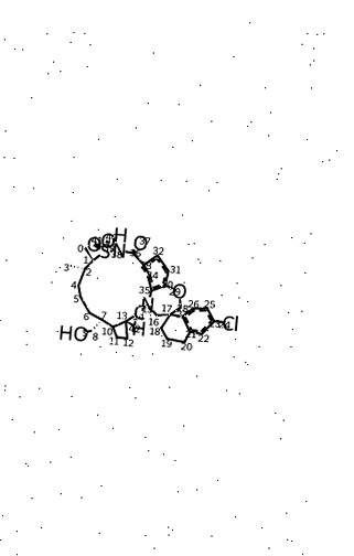 C[C@@H]1[C@@H](C)CCC[C@@H](CO)C2CC[C@H]2CN2C[C@@]3(CCCc4cc(Cl)ccc43)COc3ccc(cc32)C(=O)NS1(=O)=O